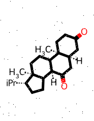 CC(C)[C@H]1CCC2[C@@H]3C(=O)C[C@@H]4CC(=O)CC[C@]4(C)C3CC[C@@]21C